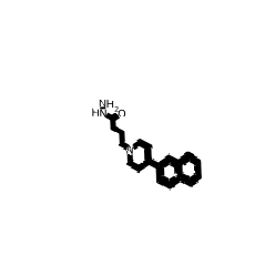 NNC(=O)CCCN1CC=C(c2ccc3ccccc3c2)CC1